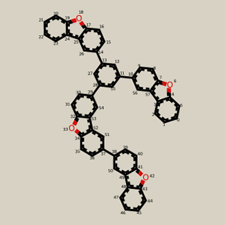 c1ccc2c(c1)oc1ccc(-c3cc(-c4ccc5oc6ccccc6c5c4)cc(-c4ccc5oc6ccc(-c7ccc8oc9ccccc9c8c7)cc6c5c4)c3)cc12